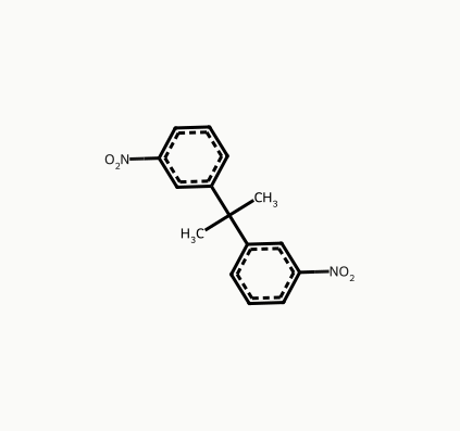 CC(C)(c1cccc([N+](=O)[O-])c1)c1cccc([N+](=O)[O-])c1